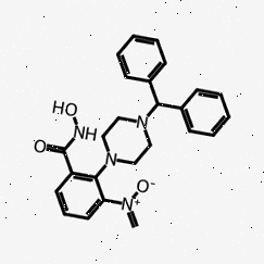 C=[N+]([O-])c1cccc(C(=O)NO)c1N1CCN(C(c2ccccc2)c2ccccc2)CC1